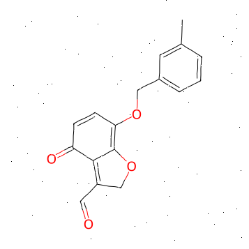 Cc1cccc(COC2=C3OCC(C=O)=C3C(=O)C=C2)c1